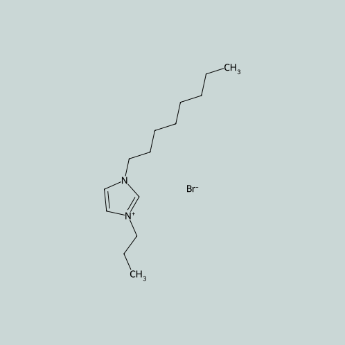 CCCCCCCCn1cc[n+](CCC)c1.[Br-]